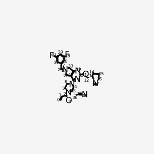 C=CC(=O)N1CCN(c2nc(OC[C@@H]3CCCN3C)nc3c2CN(Cc2cc(F)cc(F)c2)C3)C[C@@H]1CC#N